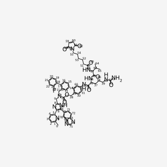 Cc1cccc(-c2nc(CN(Cc3ccccc3-c3ccccc3F)C(=O)OCc3ccc(NC(=O)[C@H](CCCNC(N)=O)NC(=O)C(NC(=O)CCCCCN4C(=O)C=CC4=O)C(C)C)cc3)[nH]c2-c2ccc3ncnn3c2)n1